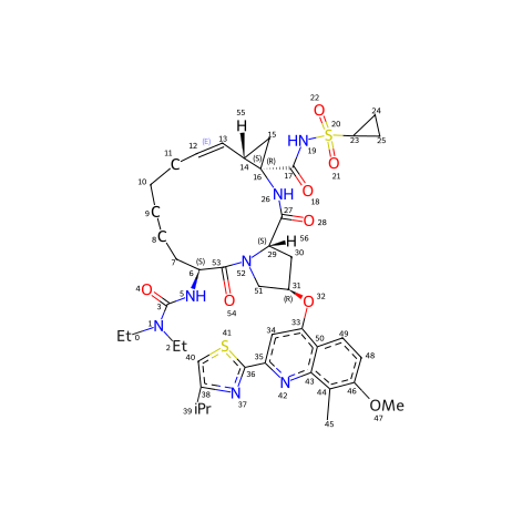 CCN(CC)C(=O)N[C@H]1CCCCC/C=C/[C@@H]2C[C@@]2(C(=O)NS(=O)(=O)C2CC2)NC(=O)[C@@H]2C[C@@H](Oc3cc(-c4nc(C(C)C)cs4)nc4c(C)c(OC)ccc34)CN2C1=O